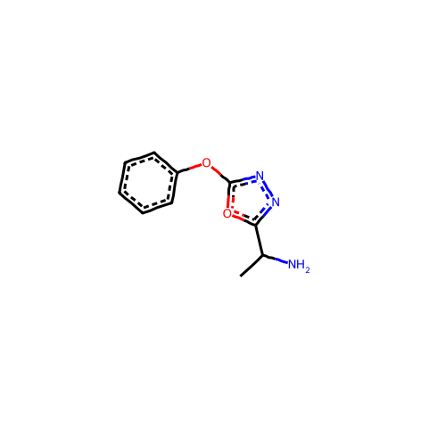 CC(N)c1nnc(Oc2ccccc2)o1